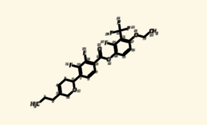 CCCC1=CCC(c2ccc(C(=O)Oc3ccc(OCC)c(C(F)(F)F)c3F)c(F)c2F)OC1